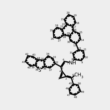 C/C(=C1C=C/1/C(=C\Nc1cccc(-c2ccc3c4ccccc4c4ccccc4c3c2)c1)c1ccc2c(c1)sc1ccccc12)c1ccccc1